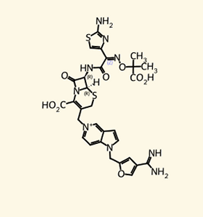 CC(C)(O/N=C(\C(=O)N[C@@H]1C(=O)N2C(C(=O)O)=C(C[n+]3ccc4c(ccn4Cc4cc(C(=N)N)co4)c3)CS[C@H]12)c1csc(N)n1)C(=O)O